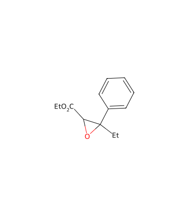 CCOC(=O)C1OC1(CC)c1ccccc1